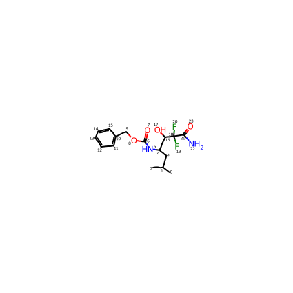 CC(C)CC(NC(=O)OCc1ccccc1)C(O)C(F)(F)C(N)=O